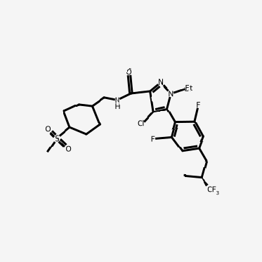 CCn1nc(C(=O)NCC2CCC(S(C)(=O)=O)CC2)c(Cl)c1-c1c(F)cc(C[C@H](C)C(F)(F)F)cc1F